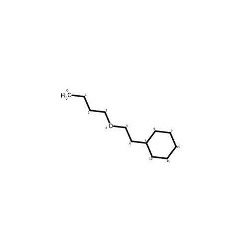 CCCCOCCC1CCCCC1